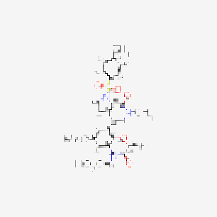 COc1cc(-c2cn(C)c(=O)c3c2ccn3S(=O)(=O)c2ccc(C)cc2)c2c(c1)N(CC(=O)O)C(=O)C(C(C)C)O2